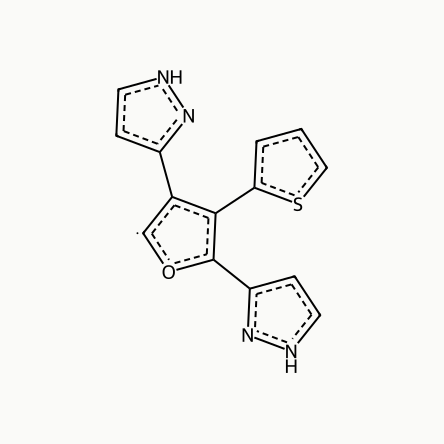 [c]1oc(-c2cc[nH]n2)c(-c2cccs2)c1-c1cc[nH]n1